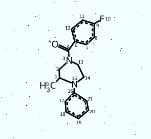 CC1CN(C(=O)c2ccc(F)cc2)CCN1c1ccccc1